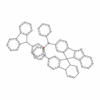 C1=CC2c3ccc(-c4ccc(C5c6ccccc6-c6ccccc65)cc4)cc3C3(c4cc(N(c5ccccc5)c5ccccc5)ccc4-c4oc5ccccc5c43)C2C=C1